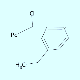 CCc1cc[c]cc1.Cl[CH2][Pd]